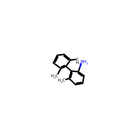 Cc1cccc(C)c1-c1c(C)cccc1N